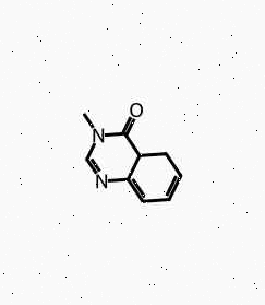 CN1C=NC2=CC=CCC2C1=O